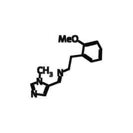 COc1ccccc1CCN=Cc1cncn1C